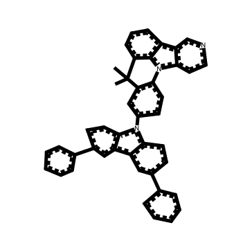 CC1(C)c2cc(-n3c4ccc(-c5ccccc5)cc4c4cc(-c5ccccc5)ccc43)ccc2-n2c3ccncc3c3cccc1c32